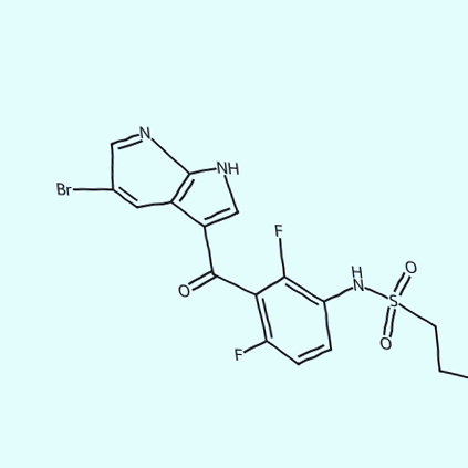 CCCS(=O)(=O)Nc1ccc(F)c(C(=O)c2c[nH]c3ncc(Br)cc23)c1F